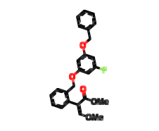 COC=C(C(=O)OC)c1ccccc1COc1cc(F)cc(OCc2ccccc2)c1